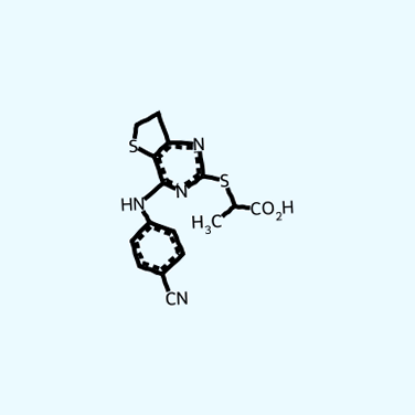 CC(Sc1nc2c(c(Nc3ccc(C#N)cc3)n1)SCC2)C(=O)O